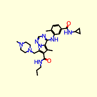 CCCNC(=O)c1c(C)c2c(Nc3cc(C(=O)NC4CC4)ccc3C)ncnn2c1CN1CCN(C)CC1